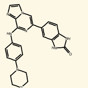 O=c1[nH]c2ccc(-c3cn4ccnc4c(Nc4ccc(N5CCOCC5)cc4)n3)cc2[nH]1